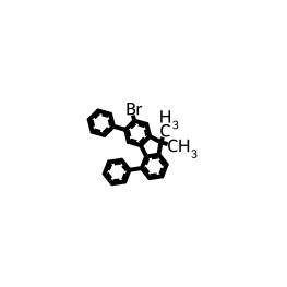 CC1(C)c2cc(Br)c(-c3ccccc3)cc2-c2c(-c3ccccc3)cccc21